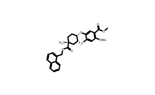 COc1cc(C(F)(F)F)c(O[C@H]2CC[C@@](C)(C(=O)OCc3cccc4ccccc34)CC2)cc1C(=O)OI